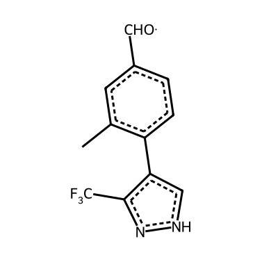 Cc1cc([C]=O)ccc1-c1c[nH]nc1C(F)(F)F